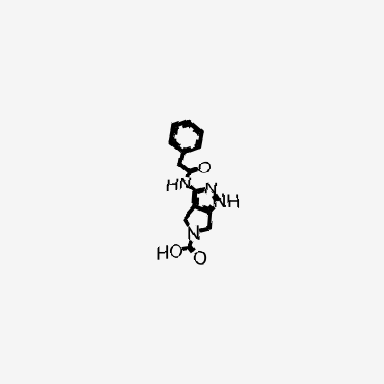 O=C(Cc1ccccc1)Nc1n[nH]c2c1CN(C(=O)O)C2